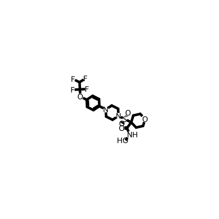 O=C(NO)C1(S(=O)(=O)N2CCN(c3ccc(OC(F)(F)C(F)F)cc3)CC2)CCOCC1